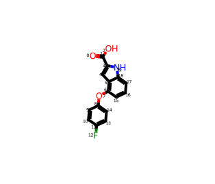 O=C(O)c1cc2c(Oc3ccc(F)cc3)cccc2[nH]1